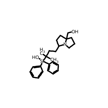 CC(C)(CCC1CCC2(CO)CCCN12)[Si](O)(c1ccccc1)c1ccccc1